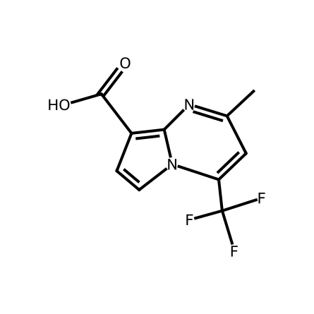 Cc1cc(C(F)(F)F)n2ccc(C(=O)O)c2n1